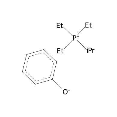 CC[P+](CC)(CC)C(C)C.[O-]c1ccccc1